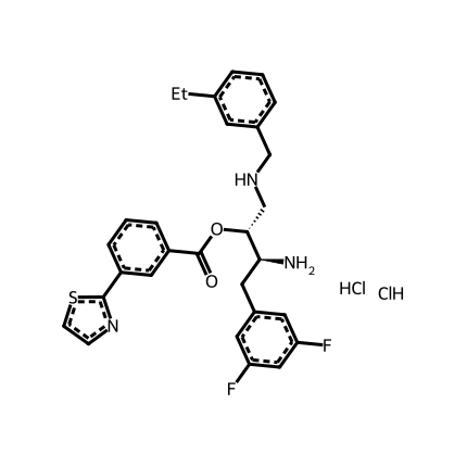 CCc1cccc(CNC[C@@H](OC(=O)c2cccc(-c3nccs3)c2)[C@@H](N)Cc2cc(F)cc(F)c2)c1.Cl.Cl